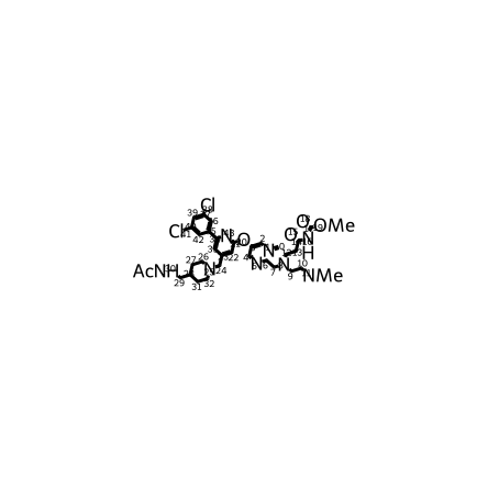 C=N/C=C(\C=N/CCN(CCNC)CCC(=O)NC(=O)OC)Oc1cc(CN2CCC(CNC(C)=O)CC2)cc(-c2cc(Cl)cc(Cl)c2)n1